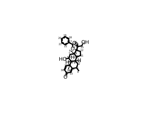 CC1C[C@@H]2[C@H](C(O)C[C@@]3(C)[C@H]2CC[C@]3(OC(=O)c2ccccc2)C(=O)CO)[C@@]2(C)C=CC(=O)C=C12